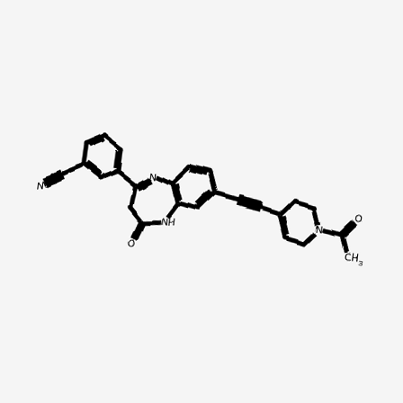 CC(=O)N1CC=C(C#Cc2ccc3c(c2)NC(=O)CC(c2cccc(C#N)c2)=N3)CC1